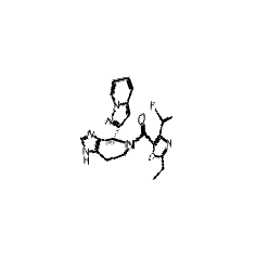 CCc1nc(C(C)F)c(C(=O)N2CCc3[nH]cnc3[C@@H]2c2cc3ccccn3n2)o1